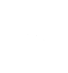 CC([C]=O)C1CCCCC1